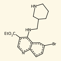 CCOC(=O)c1cnc2ccc(Br)cc2c1NCC1CCCNC1